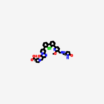 COc1nc(-c2cccc(-c3cccc(-c4ccn5c(=O)c(CN6CC[C@@H](C(=O)O)C6)cnc5c4)c3Cl)c2Cl)ccc1CNC[C@H]1CCC(=O)N1